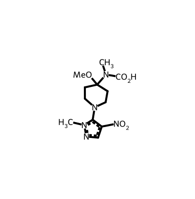 COC1(N(C)C(=O)O)CCN(c2c([N+](=O)[O-])cnn2C)CC1